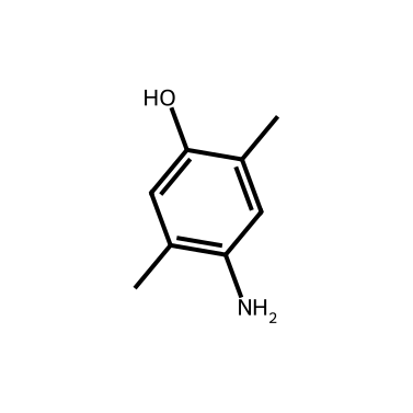 Cc1cc(O)c(C)cc1N